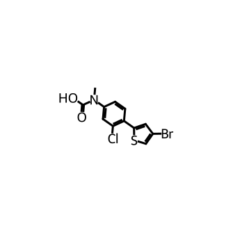 CN(C(=O)O)c1ccc(-c2cc(Br)cs2)c(Cl)c1